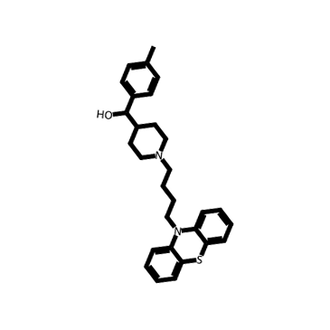 Cc1ccc(C(O)C2CCN(CCCCN3c4ccccc4Sc4ccccc43)CC2)cc1